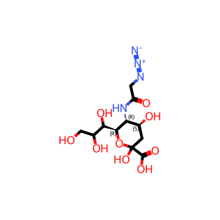 [N-]=[N+]=NCC(=O)N[C@@H]1[C@@H](O)CC(O)(C(=O)O)O[C@H]1C(O)C(O)CO